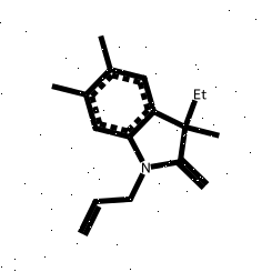 C=CCN1C(=C)C(C)(CC)c2cc(C)c(C)cc21